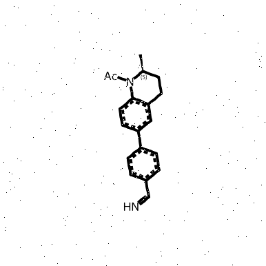 CC(=O)N1c2ccc(-c3ccc(C=N)cc3)cc2CC[C@@H]1C